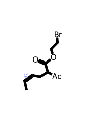 C/C=C\CC(C(C)=O)C(=O)OCCBr